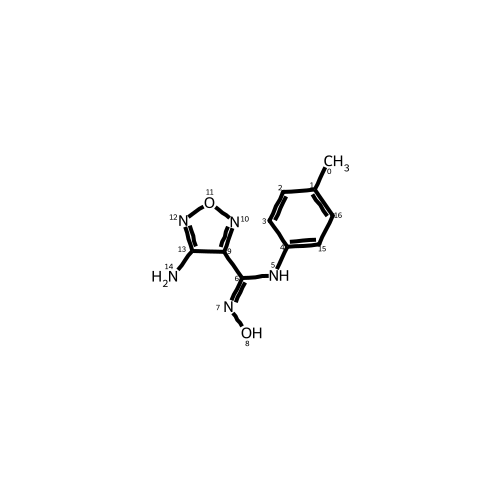 Cc1ccc(N/C(=N\O)c2nonc2N)cc1